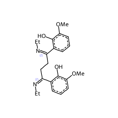 CC/N=C(/CC/C(=N/CC)c1cccc(OC)c1O)c1cccc(OC)c1O